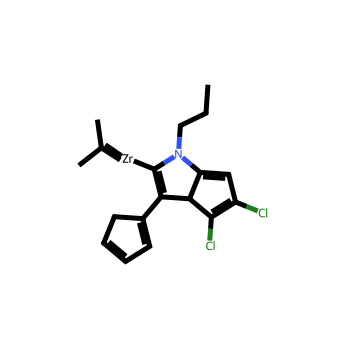 CCCN1C2=CC(Cl)=C(Cl)C2C(C2=CC=CC2)=[C]1[Zr]=[C](C)C